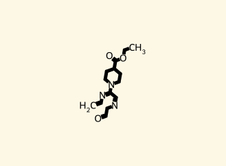 C=C/N=C(\C=N/CC=O)N1CCC(C(=O)OCC)CC1